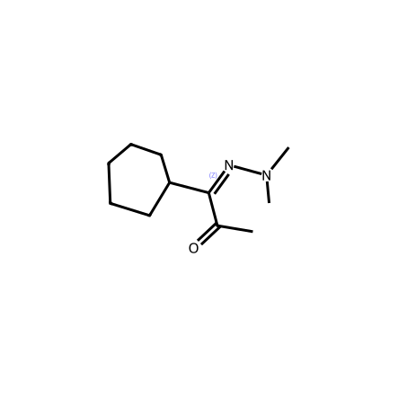 CC(=O)/C(=N\N(C)C)C1CCCCC1